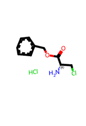 Cl.N[C@@H](CCl)C(=O)OCc1ccccc1